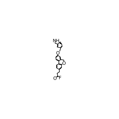 NCc1cccc(COc2ccc3c(c2)COc2cc(CCC(=O)F)ccc2-3)c1